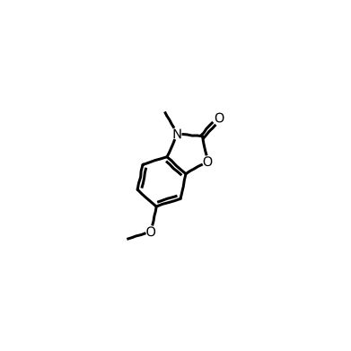 COc1ccc2c(c1)oc(=O)n2C